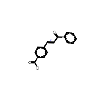 O=C(Cl)c1ccc(/C=C/C(=O)c2ccccc2)cc1